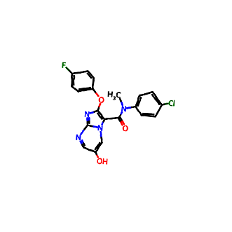 CN(C(=O)c1c(Oc2ccc(F)cc2)nc2ncc(O)cn12)c1ccc(Cl)cc1